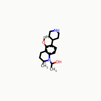 CCCOc1c(C2CCNCC2)ccc2c1CC[C@H](C)N2C(C)O